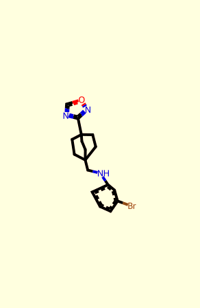 Brc1cccc(NCC23CCC(c4ncon4)(CC2)CC3)c1